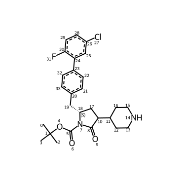 CC(C)(C)OC(=O)N1C(=O)C(C2CCNCC2)C[C@H]1Cc1ccc(-c2cc(Cl)ccc2F)cc1